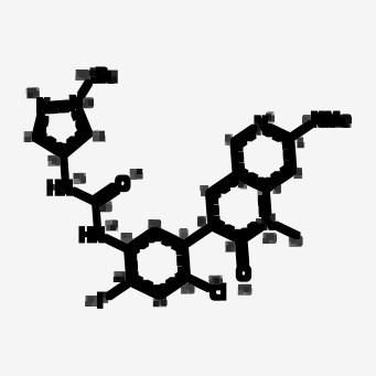 CNc1cc2c(cn1)cc(-c1cc(NC(=O)Nc3cnn(C(C)(C)C)c3)c(F)cc1Cl)c(=O)n2C